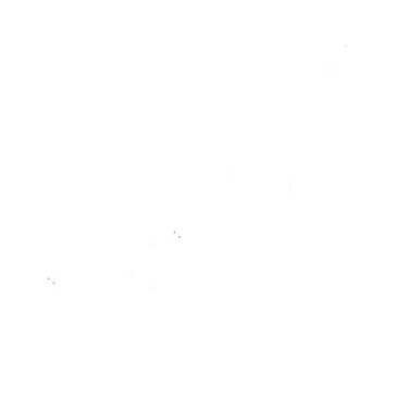 C/C(=N\OC(=O)C1CCN(C)CC1)[C@H]1CCC2[C@@H]3CCC4=CC(=O)CC[C@]4(C)C3CC[C@@]21C